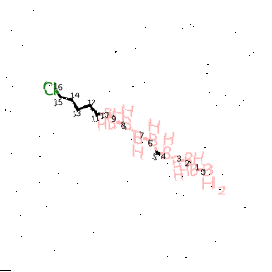 BBBBBCBBBBBCCCCCCl